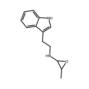 CC1OC1NCCc1c[nH]c2ccccc12